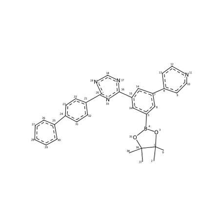 CC1(C)OB(c2cc(-c3ccncc3)cc(-c3ncnc(-c4ccc(-c5ccccc5)cc4)n3)c2)OC1(C)C